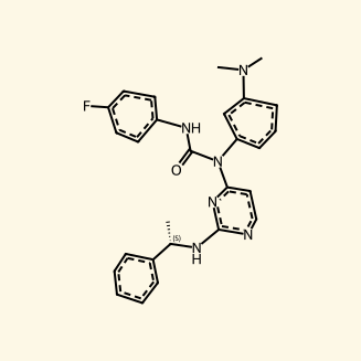 C[C@H](Nc1nccc(N(C(=O)Nc2ccc(F)cc2)c2cccc(N(C)C)c2)n1)c1ccccc1